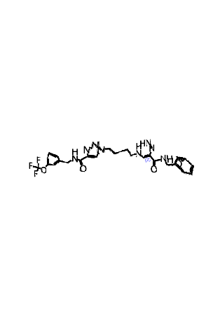 N=N/C(=C\NCCCCn1cc(C(=O)NCc2cccc(OC(F)(F)F)c2)nn1)C(=O)NCc1cc2ccc1o2